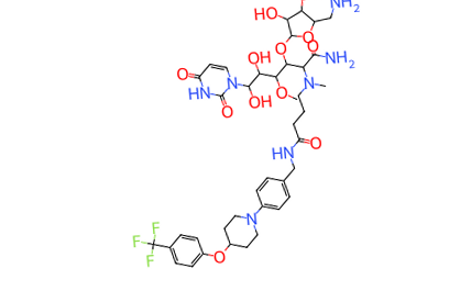 COC(C(O)C(O)n1ccc(=O)[nH]c1=O)C(OC1OC(CN)C(O)C1O)C(C(N)=O)N(C)CCCC(=O)NCc1ccc(N2CCC(Oc3ccc(C(F)(F)F)cc3)CC2)cc1